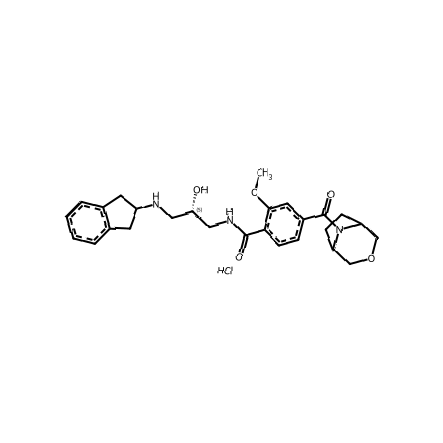 COc1cc(C(=O)N2C3CCC2COC3)ccc1C(=O)NC[C@@H](O)CNC1Cc2ccccc2C1.Cl